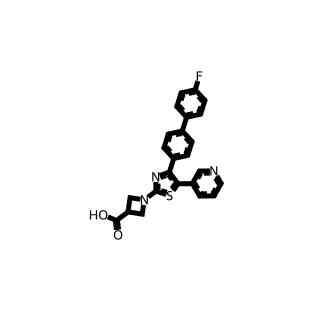 O=C(O)C1CN(c2nc(-c3ccc(-c4ccc(F)cc4)cc3)c(-c3cccnc3)s2)C1